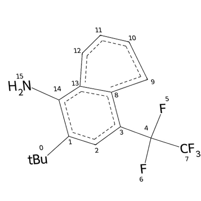 CC(C)(C)c1cc(C(F)(F)C(F)(F)F)c2ccccc2c1N